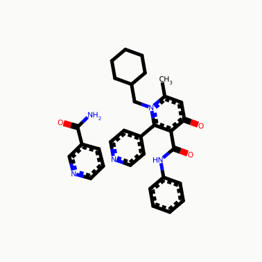 Cc1cc(=O)c(C(=O)Nc2ccccc2)c(-c2ccncc2)n1CC1CCCCC1.NC(=O)c1cccnc1